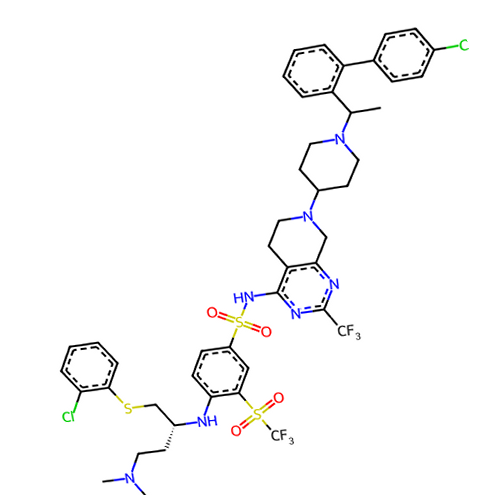 CC(c1ccccc1-c1ccc(Cl)cc1)N1CCC(N2CCc3c(nc(C(F)(F)F)nc3NS(=O)(=O)c3ccc(N[C@H](CCN(C)C)CSc4ccccc4Cl)c(S(=O)(=O)C(F)(F)F)c3)C2)CC1